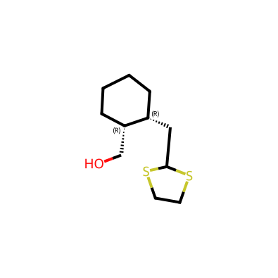 OC[C@@H]1CCCC[C@@H]1CC1SCCS1